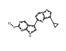 CCOc1ncc2c(-c3ccn4ncc(C5CC5)c4n3)c[nH]c2n1